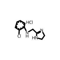 Cl.Clc1ccccc1NCC1=NCCN1